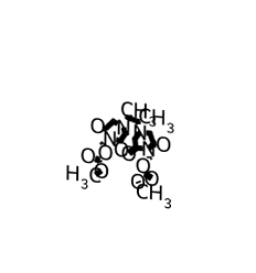 COC(=O)OCN1C(=O)CN([C@H](C)[C@H](C)N2CC(=O)N(COC(=O)OC)C(=O)C2)CC1=O